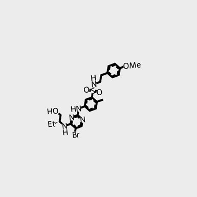 CC[C@H](CO)Nc1nc(Nc2ccc(C)c(S(=O)(=O)NCCc3ccc(OC)cc3)c2)ncc1Br